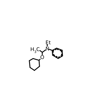 CCN(c1ccccc1)C(C)OC1CCCCC1